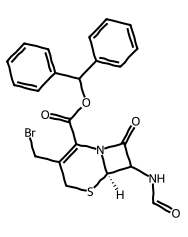 O=CNC1C(=O)N2C(C(=O)OC(c3ccccc3)c3ccccc3)=C(CBr)CS[C@H]12